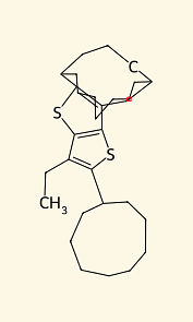 CCc1c(C2CCCCCCCC2)sc2c3c(sc12)C1CCCCCCCC(CCC1)C3